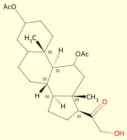 CC(=O)OC1CC[C@@]2(C)C(CC[C@H]3[C@@H]4CC[C@H](C(=O)CO)[C@@]4(C)CC(OC(C)=O)[C@@H]32)C1